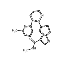 CNC(=O)c1cnc2ccc(-c3ncccc3-c3cccc(C)n3)cn12